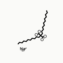 CCCCCCCCCCCCC(CCCCCCCCCCC)(C(=O)[O-])C(=O)[O-].[Li+].[Na+]